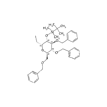 CC(C)(C)[Si](C)(C)O[C@@H]1[C@@H](OCc2ccccc2)[C@H](OCc2ccccc2)[C@@H](COCc2ccccc2)O[C@@H]1CI